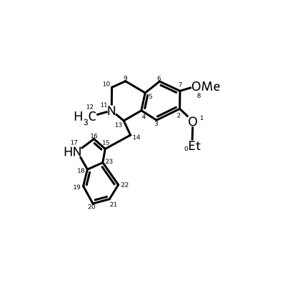 CCOc1cc2c(cc1OC)CCN(C)C2Cc1c[nH]c2ccccc12